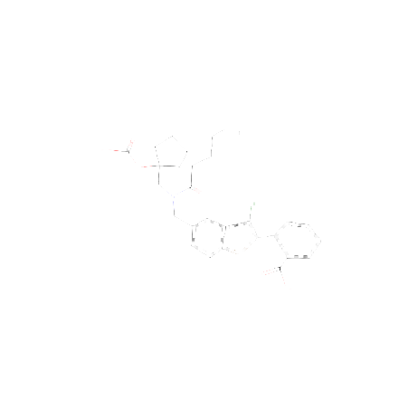 CCCCC(=O)N(Cc1ccc2sc(-c3ccccc3C(=O)O)c(Br)c2c1)CC1(OC(=O)O)CCCC1